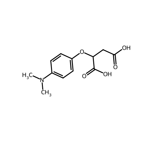 CN(C)c1ccc(OC(CC(=O)O)C(=O)O)cc1